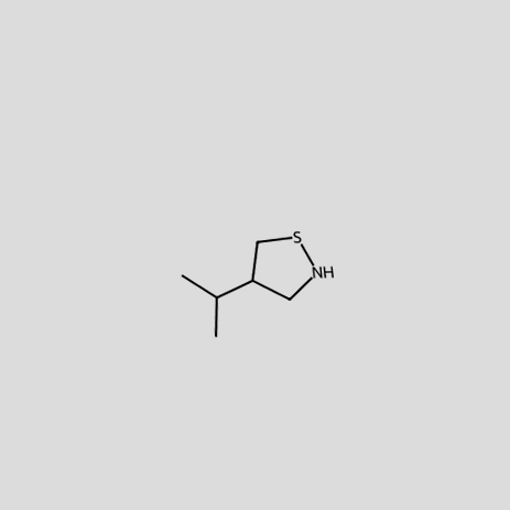 CC(C)C1CNSC1